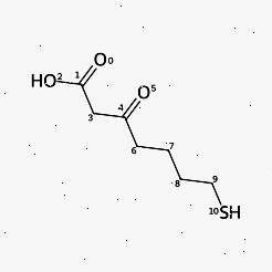 O=C(O)CC(=O)CCCCS